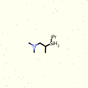 CC(C)[SiH2]C(C)CN(C)C